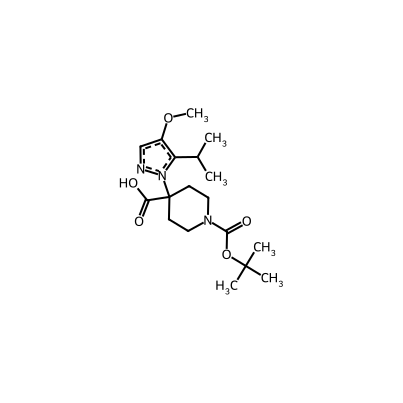 COc1cnn(C2(C(=O)O)CCN(C(=O)OC(C)(C)C)CC2)c1C(C)C